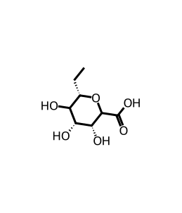 CC[C@@H]1OC(C(=O)O)[C@H](O)[C@H](O)C1O